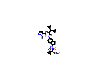 CC(=O)NC(C(=O)N[C@@H]1CCc2cc(NC(=O)[C@@H](NC(=O)c3ccnn3C(C)C)C(C3CC3)C3CC3)ccc21)C1(C(F)(F)F)CC1